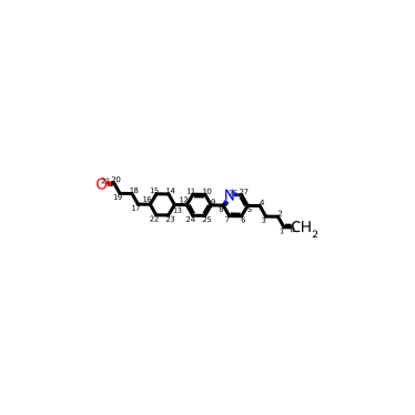 C=CCCCc1ccc(-c2ccc(C3CCC(CCCC=O)CC3)cc2)nc1